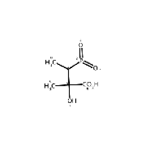 CC(P(=O)=O)C(C)(O)C(=O)O